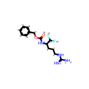 N=C(N)NCCCC(NC(=O)OCc1ccccc1)C(F)F